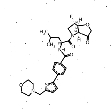 CC(C)C[C@H](NC(=O)c1ccc(-c2ccc(CN3CCOCC3)s2)cc1)C(=O)N1C[C@H](F)[C@H]2OCC(=O)[C@H]21